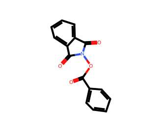 O=C(ON1C(=O)c2ccccc2C1=O)c1ccccc1